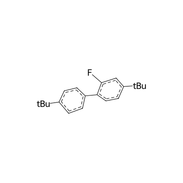 CC(C)(C)c1ccc(-c2ccc(C(C)(C)C)cc2F)cc1